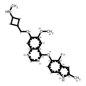 CNC1CC(COc2cc3ncnc(Oc4ccc5[nH]c(C)cc5c4F)c3cc2OC)C1